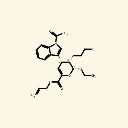 C=CCOC(=O)C1=C[C@H](c2cn(C(C)=O)c3ccccc23)[C@H](CCCO)[C@H](OCC)O1